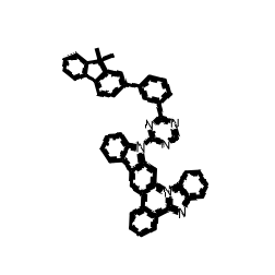 CC1(C)c2ccccc2-c2ccc(-c3cccc(-c4ncnc(-n5c6ccccc6c6cc7c8ccccc8c8nc9ccccc9n8c7cc65)n4)c3)cc21